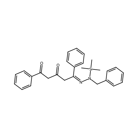 C[Si](C)(C)N(Cc1ccccc1)N=C(CC(=O)CC(=O)c1ccccc1)c1ccccc1